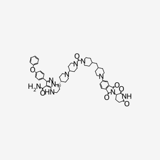 NC(=O)c1c(-c2ccc(Oc3ccccc3)cc2)nn2c1NCC[C@H]2C1CCN(C2CCN(C(=O)N3CCC(CC4CCN(c5ccc6c(c5)C(=O)N(C5CCC(=O)NC5=O)C6=O)CC4)CC3)CC2)CC1